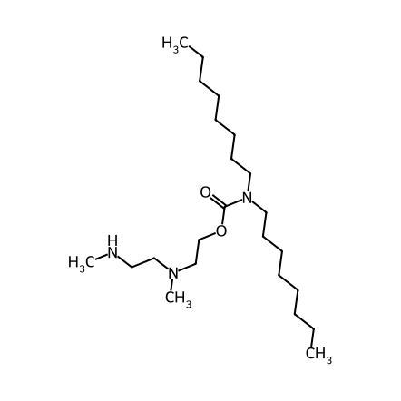 CCCCCCCCN(CCCCCCCC)C(=O)OCCN(C)CCNC